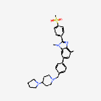 Cc1cc(-c2ccc(CN3CCC(N4CCCC4)CC3)cc2)cc2c1nc(-c1ccc(S(C)(=O)=O)cc1)n2C